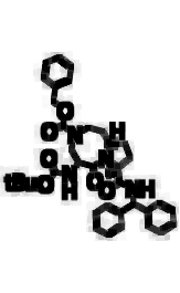 CC(C)(C)OC(=O)NC1CN(C(=O)OCc2ccccc2)CC[C@H]2CC[C@@H](C(=O)NC(c3ccccc3)c3ccccc3)N2C1=O